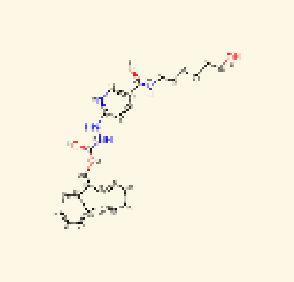 O=C(NNc1ccc(C(=O)NCCCCCCO)cn1)OCC1c2ccccc2-c2ccccc21